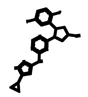 OC1CC(c2cc(F)ccc2F)N(c2ncnc(Nc3cc(C4CC4)[nH]n3)n2)C1